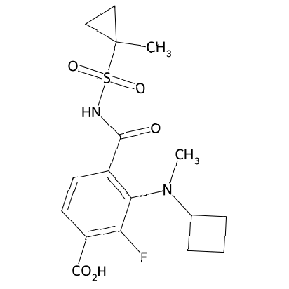 CN(c1c(C(=O)NS(=O)(=O)C2(C)CC2)ccc(C(=O)O)c1F)C1CCC1